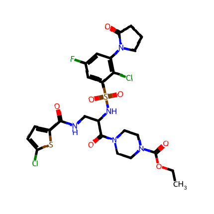 CCOC(=O)N1CCN(C(=O)C(CNC(=O)c2ccc(Cl)s2)NS(=O)(=O)c2cc(F)cc(N3CCCC3=O)c2Cl)CC1